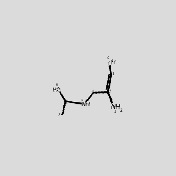 CCC/C=C(/N)CNC(C)O